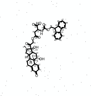 C[C@@H]1C[C@H]2[C@@H]3CCC4=CC(=O)C=C[C@]4(C)[C@@]3(F)[C@@H](O)C[C@]2(C)[C@@]1(O)C(=O)COC(=O)CC(NC(=O)OCC1c2ccccc2-c2ccccc21)C(=O)O